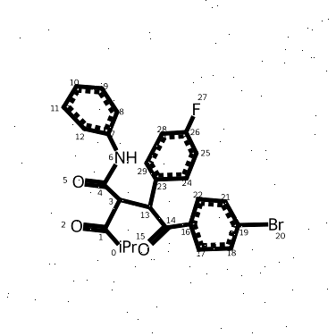 CC(C)C(=O)C(C(=O)Nc1ccccc1)C(C(=O)c1ccc(Br)cc1)c1ccc(F)cc1